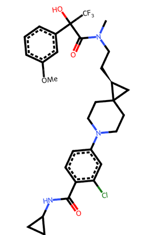 COc1cccc(C(O)(C(=O)N(C)CC[C@H]2CC23CCN(c2ccc(C(=O)NC4CC4)c(Cl)c2)CC3)C(F)(F)F)c1